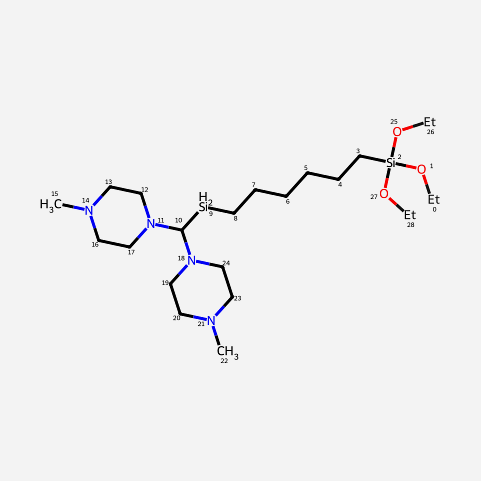 CCO[Si](CCCCCC[SiH2]C(N1CCN(C)CC1)N1CCN(C)CC1)(OCC)OCC